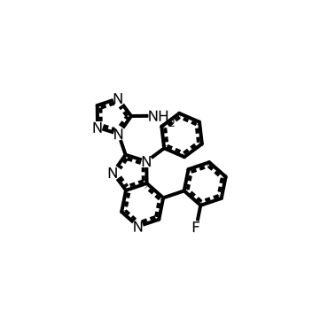 Nc1ncnn1-c1nc2cncc(-c3ccccc3F)c2n1-c1ccccc1